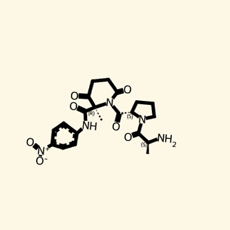 C[C@H](N)C(=O)N1CCC[C@H]1C(=O)N1C(=O)CCC(=O)[C@]1(C)C(=O)Nc1ccc([N+](=O)[O-])cc1